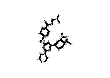 Cc1nn(C)c2cc(-c3cc(Nc4ccc(C(=O)N=CN(C)C)cc4)nc(N4CCOCC4)n3)ccc12